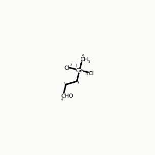 [CH3][Ge]([Cl])([Cl])[CH2]CC=O